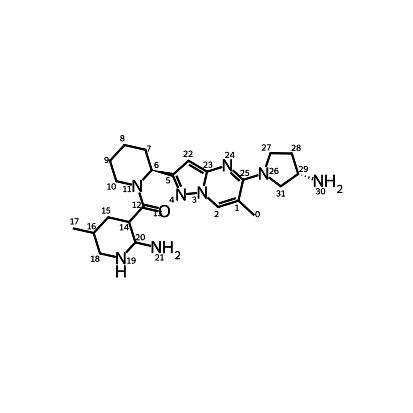 Cc1cn2nc([C@@H]3CCCCN3C(=O)C3CC(C)CNC3N)cc2nc1N1CC[C@H](N)C1